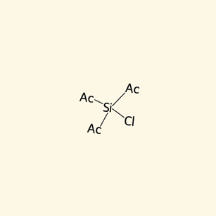 CC(=O)[Si](Cl)(C(C)=O)C(C)=O